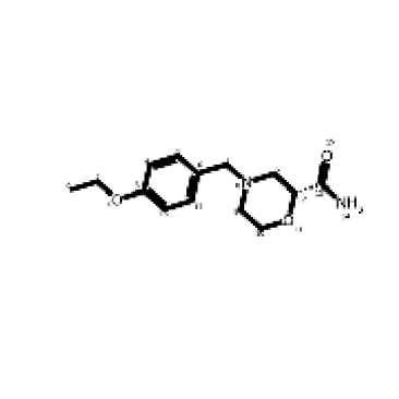 CCOc1ccc(CN2CCO[C@@H](C(N)=O)C2)cc1